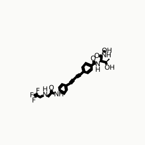 C[C@@H](O)[C@H](NC(=O)c1ccc(C#CC#Cc2ccc(NC(=O)CNCC(F)(F)F)cc2)cc1)C(=O)NO